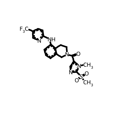 Cn1c(C(=O)N2CCc3c(cccc3Nc3ccc(C(F)(F)F)cn3)C2)cnc1S(C)(=O)=O